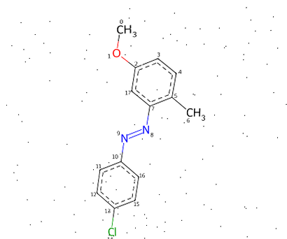 COc1ccc(C)c(N=Nc2ccc(Cl)cc2)c1